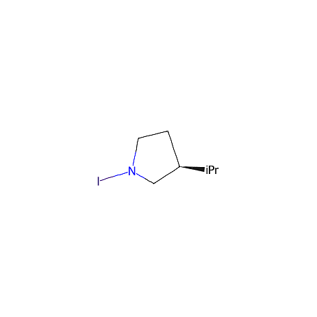 CC(C)[C@@H]1CCN(I)C1